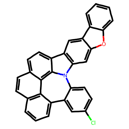 Clc1ccc2c(c1)c1cccc3ccc4ccc5c6cc7c(cc6n2c5c4c31)oc1ccccc17